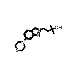 CC(C)(O)CCn1cc2ccc(N3CCSCC3)cc2n1